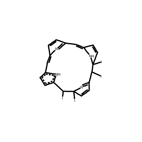 IC1c2ccc([nH]2)C=C2C=CC(=N2)C=C2C=CC(I)(N2)C(I)C2=NC1(I)C=C2